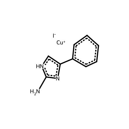 Nc1nc(-c2ccccc2)c[nH]1.[Cu+].[I-]